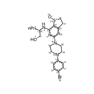 CCC[C@H](CO)Nc1nc(N2CCN(c3ccc(Br)cc3)CC2)nc2c1[S+]([O-])CC2